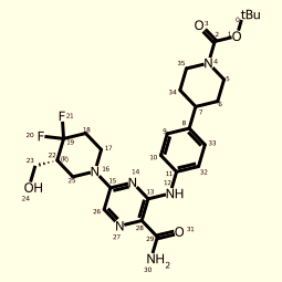 CC(C)(C)OC(=O)N1CCC(c2ccc(Nc3nc(N4CCC(F)(F)[C@@H](CO)C4)cnc3C(N)=O)cc2)CC1